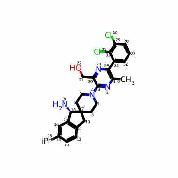 Cc1nc(N2CCC3(CC2)Cc2ccc(C(C)C)cc2[C@H]3N)c(CO)nc1-c1cccc(Cl)c1Cl